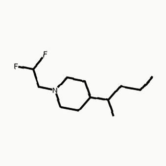 CCCC(C)C1CCN(CC(F)F)CC1